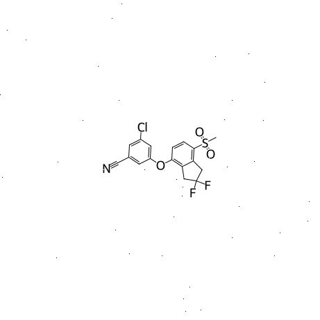 CS(=O)(=O)c1ccc(Oc2cc(Cl)cc(C#N)c2)c2c1CC(F)(F)C2